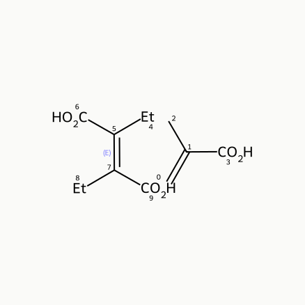 C=C(C)C(=O)O.CC/C(C(=O)O)=C(/CC)C(=O)O